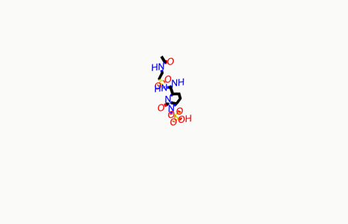 CC(=O)NCCS(=O)(=O)NC(=N)C1CCC2CN1C(=O)N2OS(=O)(=O)O